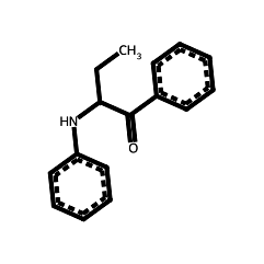 CC[C](Nc1ccccc1)C(=O)c1ccccc1